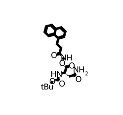 CC(C)(C)OC(=O)N[C@@H](CC(N)=O)C(=O)ONC(=O)CCc1cccc2ccccc12